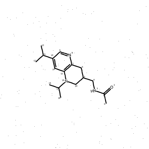 CC(=O)NCC1Cc2ncc(C(C)C)cc2N(C(C)C)C1